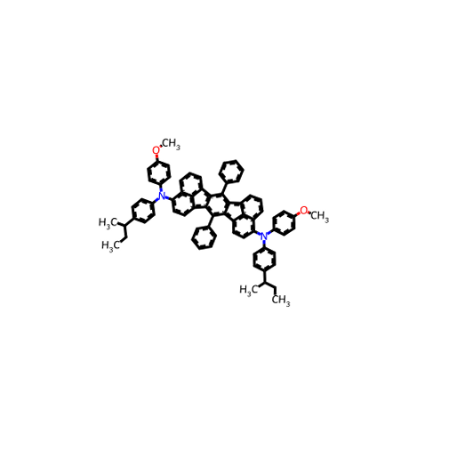 CCC(C)c1ccc(N(c2ccc(OC)cc2)c2ccc3c4c(-c5ccccc5)c5c6ccc(N(c7ccc(OC)cc7)c7ccc(C(C)CC)cc7)c7cccc(c5c(-c5ccccc5)c4c4cccc2c43)c76)cc1